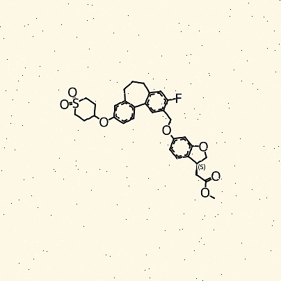 COC(=O)C[C@@H]1COc2cc(OCc3cc4c(cc3F)CCCc3cc(OC5CCS(=O)(=O)CC5)ccc3-4)ccc21